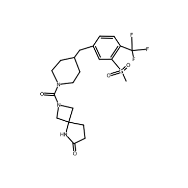 CS(=O)(=O)c1cc(CC2CCN(C(=O)N3CC4(CCC(=O)N4)C3)CC2)ccc1C(F)(F)F